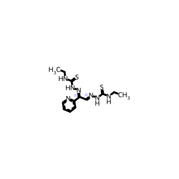 CCNC(=S)N/N=C/C(=N/NC(=S)NCC)c1ccccn1